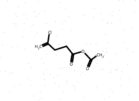 C=C(Cl)CCC(=O)OC(C)=O